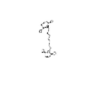 O=C1C=CC(=O)N1CCCCCCCN1C(=O)C=CC1=O